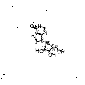 O=c1[nH]cnc2c1ncn2[C@@H]1S[C@H](CO)[C@@H](O)[C@@H]1O